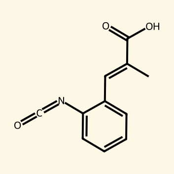 C/C(=C\c1ccccc1N=C=O)C(=O)O